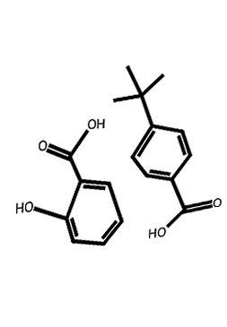 CC(C)(C)c1ccc(C(=O)O)cc1.O=C(O)c1ccccc1O